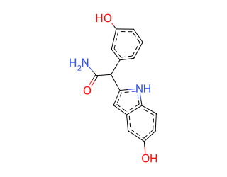 NC(=O)C(c1cccc(O)c1)c1cc2cc(O)ccc2[nH]1